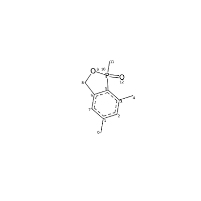 Cc1cc(C)c2c(c1)COP2(C)=O